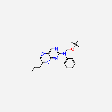 CCCc1cnc2cnc(N(CO[Si](C)(C)C)c3ccccc3)nc2n1